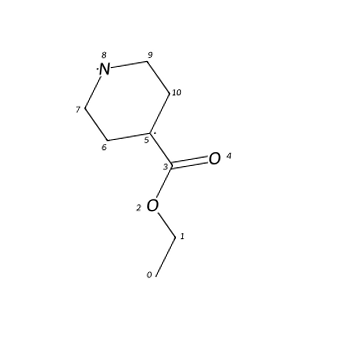 CCOC(=O)[C]1CC[N]CC1